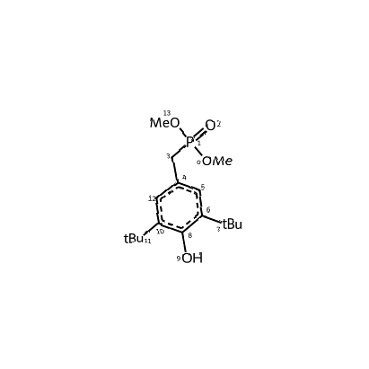 COP(=O)(Cc1cc(C(C)(C)C)c(O)c(C(C)(C)C)c1)OC